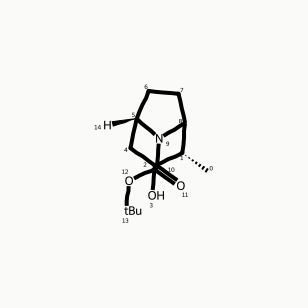 C[C@@H]1C(O)C[C@@H]2CCC1N2C(=O)OC(C)(C)C